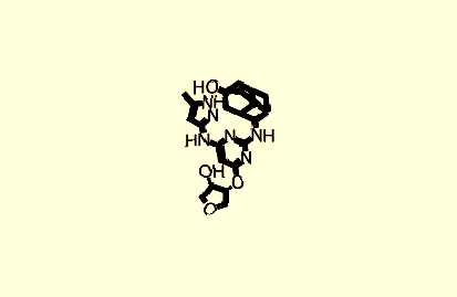 Cc1cc(Nc2cc(O[C@H]3COC[C@H]3O)nc(NC3C4CC5CC3CC(O)(C5)C4)n2)n[nH]1